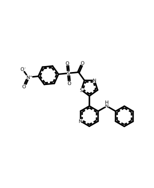 O=C(c1ncc(-c2cnccc2Nc2ccccc2)s1)S(=O)(=O)c1ccc([N+](=O)[O-])cc1